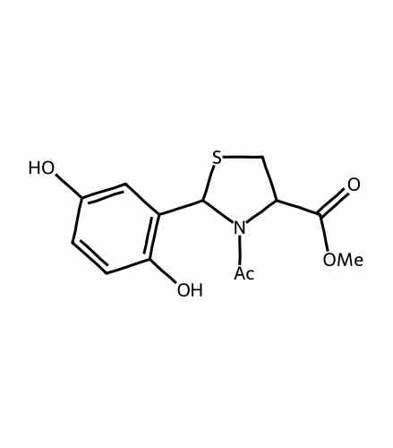 COC(=O)C1CSC(c2cc(O)ccc2O)N1C(C)=O